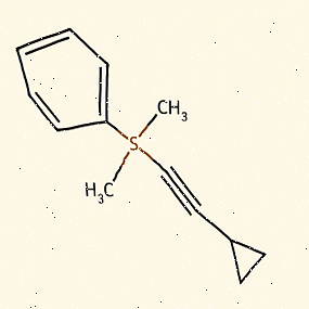 CS(C)(C#CC1CC1)c1ccccc1